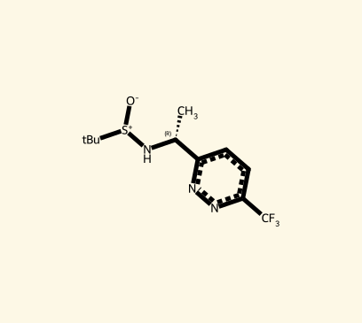 C[C@@H](N[S+]([O-])C(C)(C)C)c1ccc(C(F)(F)F)nn1